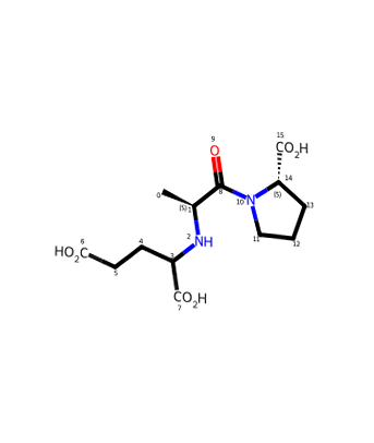 C[C@H](NC(CCC(=O)O)C(=O)O)C(=O)N1CCC[C@H]1C(=O)O